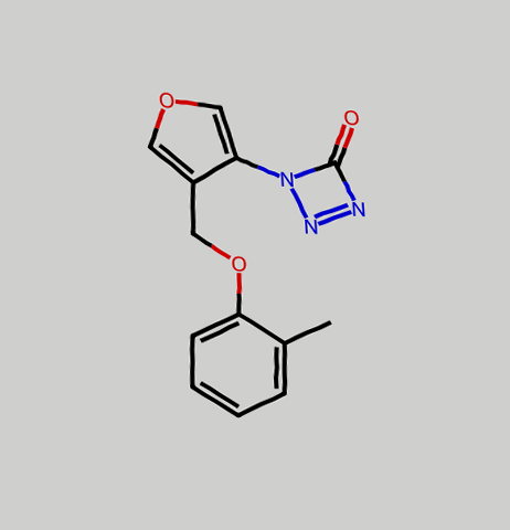 Cc1ccccc1OCc1cocc1N1N=NC1=O